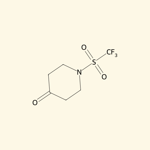 O=C1CCN(S(=O)(=O)C(F)(F)F)CC1